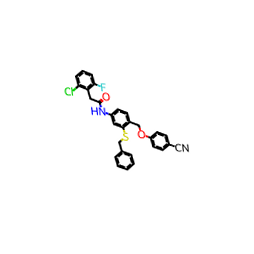 N#Cc1ccc(OCc2ccc(NC(=O)Cc3c(F)cccc3Cl)cc2SCc2ccccc2)cc1